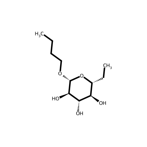 CCCCO[C@@H]1O[C@H](CC)[C@@H](O)[C@H](O)[C@H]1O